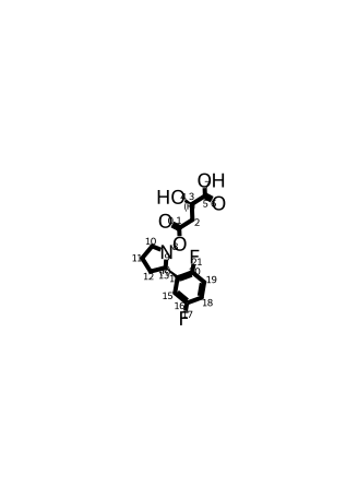 O=C(C[C@@H](O)C(=O)O)ON1CCC[C@@H]1c1cc(F)ccc1F